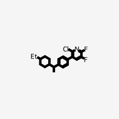 CCC1CCC(C(C)c2ccc(-c3cc(F)c(F)nc3Cl)cc2)CC1